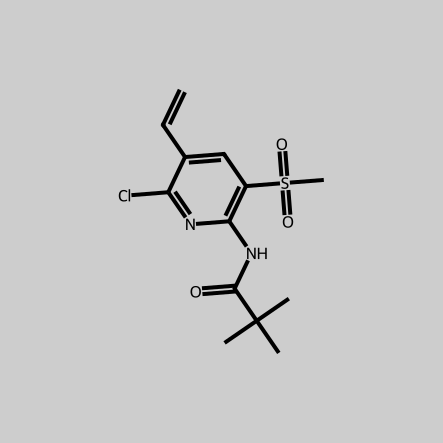 C=Cc1cc(S(C)(=O)=O)c(NC(=O)C(C)(C)C)nc1Cl